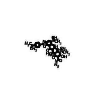 CN(C)c1ccc(-c2nc3cc(N(C)C)c4c(c3o2)C(=O)C2=C(O)[C@]3(O)C(=O)C(C(N)=O)=C(O)[C@@H](N(C)C)[C@@H]3C[C@@H]2C4)cc1